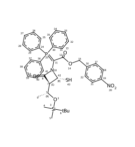 C[C@@H](O[Si](C)(C)C(C)(C)C)[C@H]1C(=O)N(C(C(=O)OCc2ccc([N+](=O)[O-])cc2)=P(c2ccccc2)(c2ccccc2)c2ccccc2)[C@@H]1S